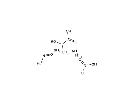 CC(O)C(=O)O.N.N.N.O=NO.O=[N+]([O-])O